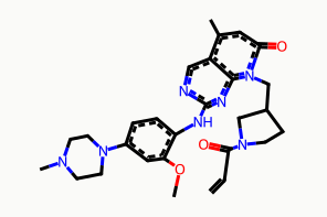 C=CC(=O)N1CCC(Cn2c(=O)cc(C)c3cnc(Nc4ccc(N5CCN(C)CC5)cc4OC)nc32)C1